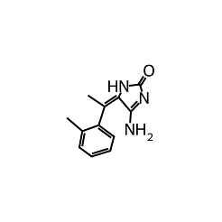 CC(=C1NC(=O)N=C1N)c1ccccc1C